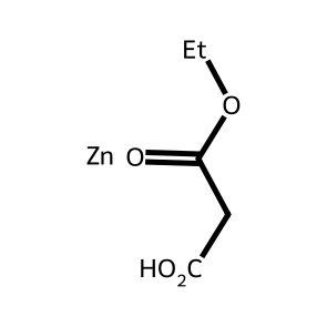 CCOC(=O)CC(=O)O.[Zn]